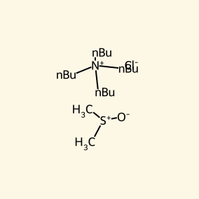 CCCC[N+](CCCC)(CCCC)CCCC.C[S+](C)[O-].[Cl-]